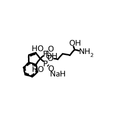 NC(O)CCCOP(=O)(O)C1(P(=O)(O)O)C=Cc2ccccc21.[NaH]